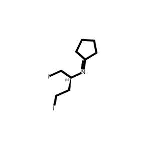 ICC[C@@H](CI)N=C1CCCC1